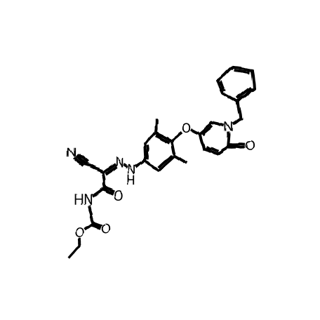 CCOC(=O)NC(=O)C(C#N)=NNc1cc(C)c(Oc2ccc(=O)n(Cc3ccccc3)c2)c(C)c1